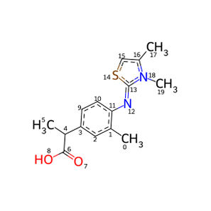 Cc1cc(C(C)C(=O)O)ccc1N=c1scc(C)n1C